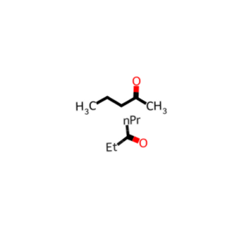 CCCC(=O)CC.CCCC(C)=O